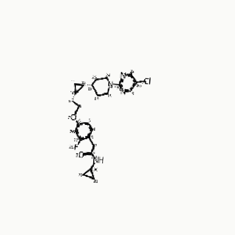 O=C(Cc1ccc(OCC[C@@H]2C[C@@H]2C2CCN(c3ncc(Cl)cn3)CC2)cc1F)NC1CC1